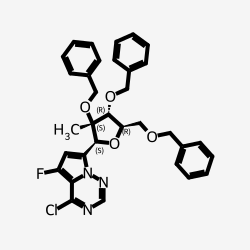 C[C@@]1(OCc2ccccc2)[C@H](OCc2ccccc2)[C@@H](COCc2ccccc2)O[C@H]1c1cc(F)c2c(Cl)ncnn12